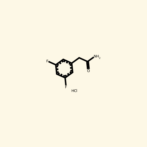 Cl.NC(=O)Cc1cc(F)cc(F)c1